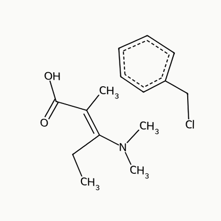 CCC(=C(C)C(=O)O)N(C)C.ClCc1ccccc1